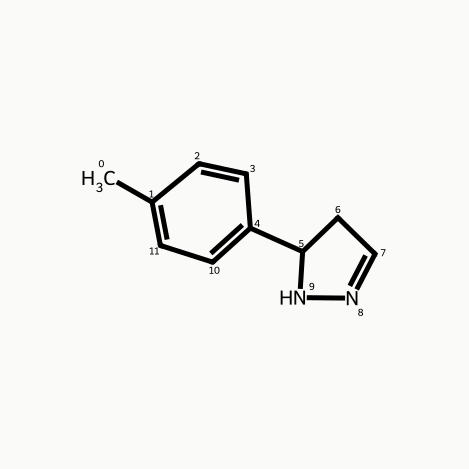 Cc1ccc(C2CC=NN2)cc1